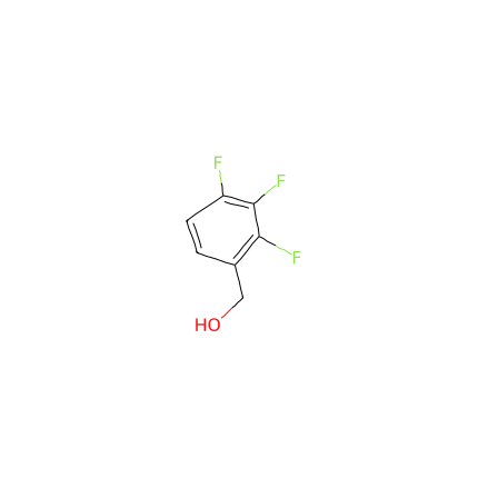 OCc1ccc(F)c(F)c1F